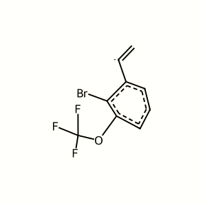 C=[C]c1cccc(OC(F)(F)F)c1Br